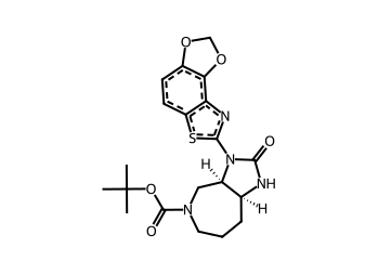 CC(C)(C)OC(=O)N1CCC[C@@H]2NC(=O)N(c3nc4c5c(ccc4s3)OCO5)[C@@H]2C1